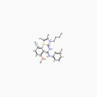 CCCCn1c(C)c(C)sc1=NC(=Nc1cccc(C)c1)c1cc(Cl)ccc1OC